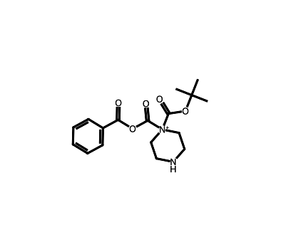 CC(C)(C)OC(=O)[N+]1(C(=O)OC(=O)c2ccccc2)CCNCC1